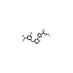 NC(=O)c1ccn(-c2cc(Cc3cc(F)cc(C(F)F)c3)ccn2)n1